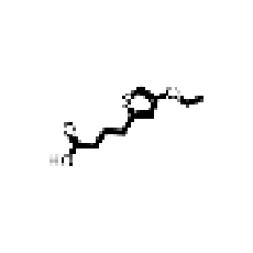 CCOc1csc(CCCC(=O)O)c1